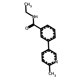 CCNC(=O)c1cccc(-c2ccc(C)nc2)c1